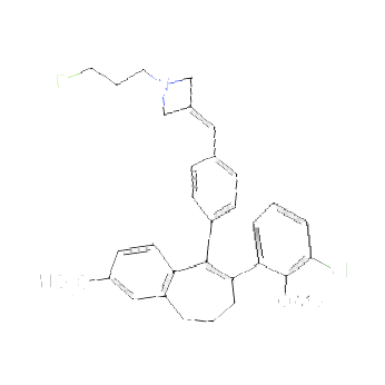 COc1c(Cl)cccc1C1=C(c2ccc(C=C3CN(CCCF)C3)cc2)c2ccc(C(=O)O)cc2CCC1